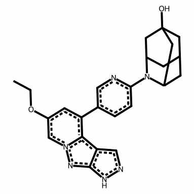 CCOc1cc(-c2ccc(N3C4CC5CC3CC(O)(C5)C4)nc2)c2c3cn[nH]c3nn2c1